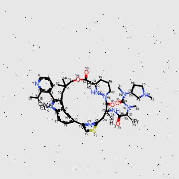 CCn1c(-c2cccnc2[C@H](C)OC)c2c3cc(ccc31)-c1csc(n1)C[C@@]([SiH3])(NC(=O)[C@H](C(C)C)N(C)C(=O)N(C)[C@H]1CCN(C)C1)C(=O)N1CCC[C@H](N1)C(=O)OCC(C)(C)C2